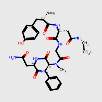 CC(=O)O.CN[C@@H](Cc1ccc(O)cc1)C(=O)N[C@H](CC(N)=O)C(=O)NCC(=O)N(C)[C@@H](Cc1ccccc1)C(=O)N[C@H](CC(N)=O)C(N)=O